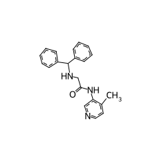 Cc1ccncc1NC(=O)CNC(c1ccccc1)c1ccccc1